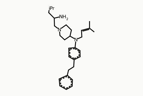 CC(C)=CCN(c1ccc(CCc2ccccc2)cc1)C1CCN(CC(N)CC(C)C)CC1